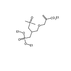 C=C(COCC(CP(C)(C)=O)CP(=O)(OCC)OCC)C(=O)OCC